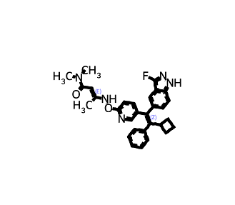 C/C(=C\C(=O)N(C)C)NOc1ccc(/C(=C(\c2ccccc2)C2CCC2)c2ccc3[nH]nc(F)c3c2)cn1